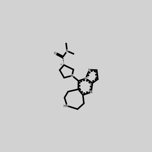 CN(C)C(=O)[C@H]1CCN(c2c3c(nc4ccnn24)CCNCC3)C1